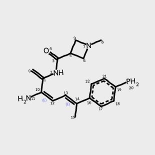 C=C(NC(=O)C1CN(C)C1)/C(N)=C\C=C(/C)c1ccc(P)cc1